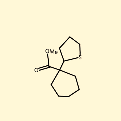 COC(=O)C1(C2CCCS2)CCCCC1